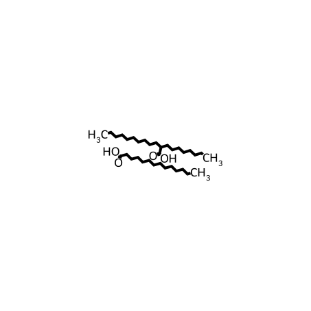 CCCCCCCCCCC(CCCCCCCC)C(=O)O.CCCCCCCCCCCCCC(=O)O